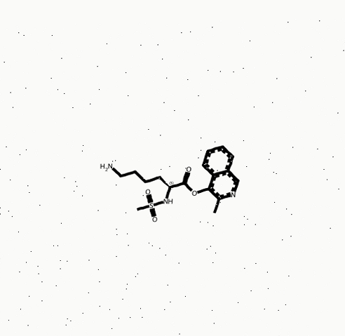 Cc1ncc2ccccc2c1OC(=O)[C@H](CCCCN)NS(C)(=O)=O